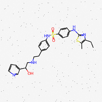 CCc1nc(Nc2ccc(S(=O)(=O)Nc3ccc(CCNCC(O)c4cccnc4)cc3)cc2)sc1C